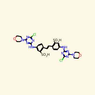 O=S(=O)(O)c1cc(Nc2nc(Cl)nc(N3CCOCC3)n2)ccc1/C=C/c1ccc(Nc2nc(Cl)nc(N3CCOCC3)n2)cc1S(=O)(=O)O